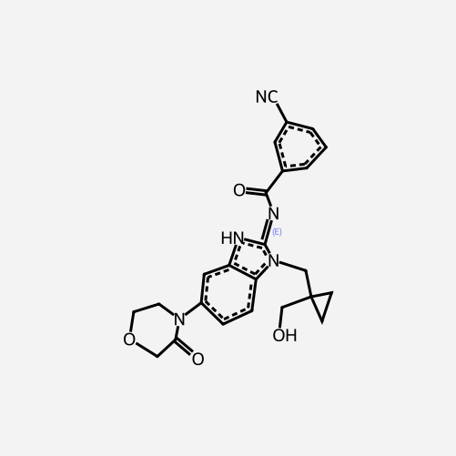 N#Cc1cccc(C(=O)/N=c2\[nH]c3cc(N4CCOCC4=O)ccc3n2CC2(CO)CC2)c1